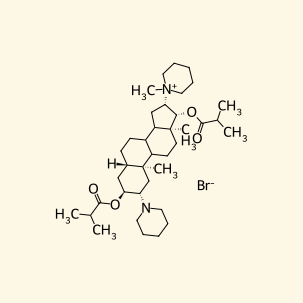 CC(C)C(=O)O[C@H]1C[C@@H]2CCC3C4C[C@H]([N+]5(C)CCCCC5)[C@H](OC(=O)C(C)C)[C@@]4(C)CCC3[C@@]2(C)C[C@@H]1N1CCCCC1.[Br-]